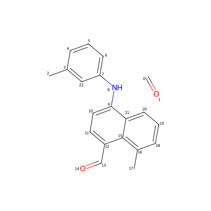 C=O.Cc1cccc(Nc2ccc(C=O)c3c(C)cccc23)c1